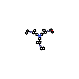 C(=C\c1ccc(-c2ccc(N(c3ccc(-c4ccc(/C=C/c5cccc6ccccc56)c5ccccc45)cc3)c3ccc(-c4ccc(/C=C/c5cccc6ccccc56)c5ccccc45)cc3)cc2)c2ccccc12)/c1cccc2ccccc12